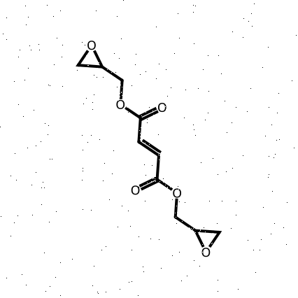 O=C(/C=C/C(=O)OCC1CO1)OCC1CO1